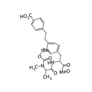 COC(=O)C(Cc1ccc(CCc2ccc(C(=O)O)cc2)cc1)NC(=O)C(C)N(C)C(=O)OC(C)(C)C